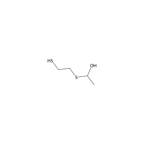 CC(O)SCCS